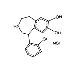 Br.Oc1cc2c(cc1O)C(c1ccccc1Br)CNCC2